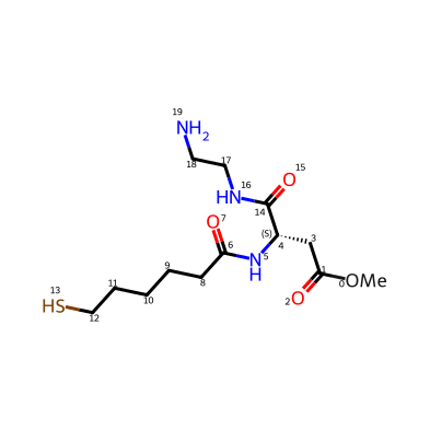 COC(=O)C[C@H](NC(=O)CCCCCS)C(=O)NCCN